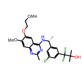 COCCOc1cc2c(N[C@H](C)c3cc(F)cc(C(F)(F)C(C)(C)O)c3)nc(C)nc2cc1OC